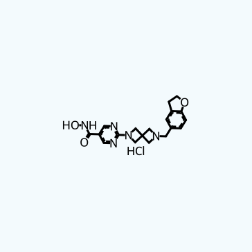 Cl.O=C(NO)c1cnc(N2CC3(CN(Cc4ccc5c(c4)CCO5)C3)C2)nc1